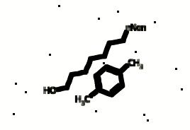 CCCCCCCCCCCCCCCCO.Cc1ccc(C)cc1